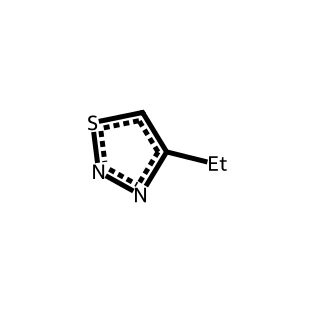 CCc1csnn1